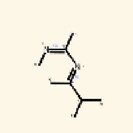 C/N=C(C)\N=C(/C)C(C)C